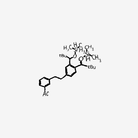 CC(=O)c1cccc(CCc2ccc(C(O[SiH](C)C)C(C)(C)C)c(C(O[SiH](C)C)C(C)(C)C)c2)c1